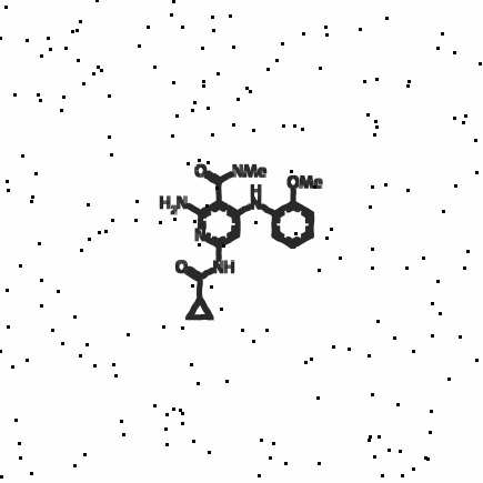 CNC(=O)c1c(Nc2ccccc2OC)cc(NC(=O)C2CC2)nc1N